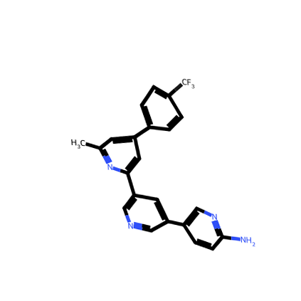 Cc1cc(-c2ccc(C(F)(F)F)cc2)cc(-c2cncc(-c3ccc(N)nc3)c2)n1